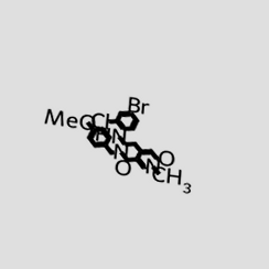 COc1ccc(CN2C(=O)c3cn(C)c(=O)cc3CC2Nc2ccc(Br)cc2Cl)cc1